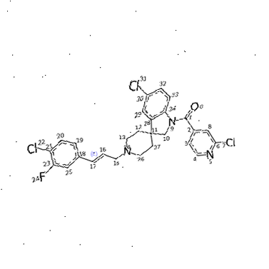 O=C(c1ccnc(Cl)c1)N1CC2(CCN(C/C=C/c3ccc(Cl)c(F)c3)CC2)c2cc(Cl)ccc21